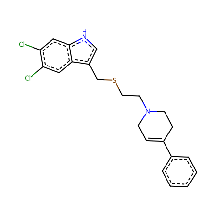 Clc1cc2[nH]cc(CSCCN3CC=C(c4ccccc4)CC3)c2cc1Cl